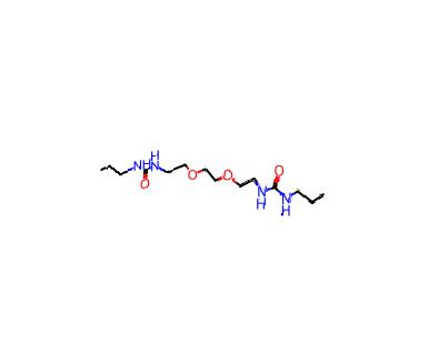 CCCNC(=O)NCCOCCOCCNC(=O)NCCC